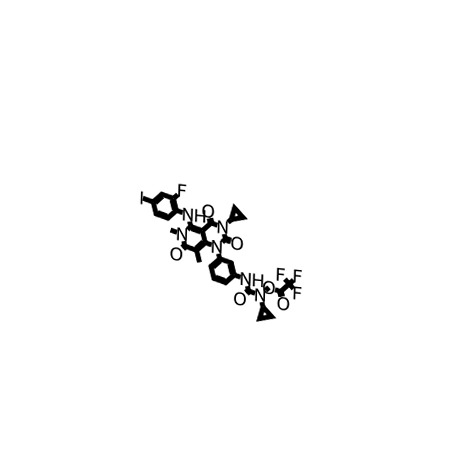 Cc1c(=O)n(C)c(Nc2ccc(I)cc2F)c2c(=O)n(C3CC3)c(=O)n(-c3cccc(NC(=O)N(OC(=O)C(F)(F)F)C4CC4)c3)c12